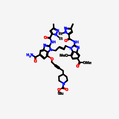 CCn1nc(C)cc1C(=O)Nc1nc2cc(C(=O)OC)cc(OC)c2n1C/C=C/Cn1c(NC(=O)c2cc(C)nn2CC)nc2cc(C(N)=O)cc(OCC#CCC3CCN(C(=O)OC(C)(C)C)CC3)c21